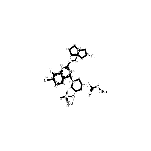 CC(C)(C)OC(=O)N[C@@H]1C[C@H](O[Si](C)(C)C(C)(C)C)CN(c2nc(OC[C@@]34CCCN3C[C@H](F)C4)nc3c(F)c(Cl)ncc23)C1